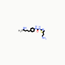 CC(=N)CCCc1ccc(NC(=O)Nc2ncc(CCN)s2)cc1